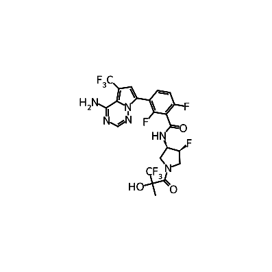 CC(O)(C(=O)N1C[C@H](F)[C@H](NC(=O)c2c(F)ccc(-c3cc(C(F)(F)F)c4c(N)ncnn34)c2F)C1)C(F)(F)F